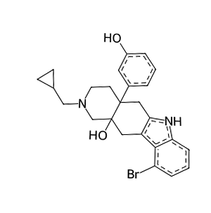 Oc1cccc(C23CCN(CC4CC4)CC2(O)Cc2c([nH]c4cccc(Br)c24)C3)c1